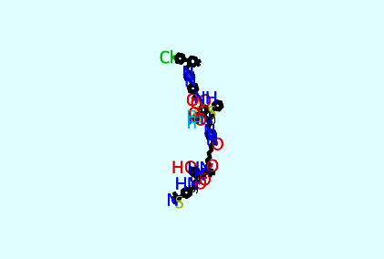 Cc1ncsc1-c1ccc([C@H](C)NC(=O)[C@@H]2C[C@@H](O)CN2C(=O)[C@@H](NC(=O)CCCCCC(=O)N2CCN(CC[C@H](CSc3ccccc3)Nc3ccc(S(=O)(=O)NC(=O)c4ccc(N5CCN(CC6=C(c7ccc(Cl)cc7)CCC(C)(C)C6)CC5)cc4)cc3S(=O)(=O)C(F)(F)F)CC2)C(C)(C)C)cc1